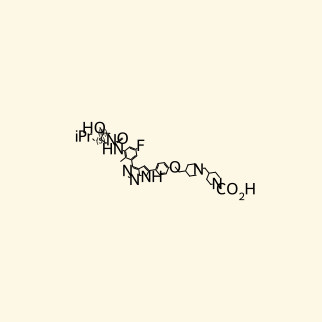 Cc1c(NC(=O)N2C[C@H](CC(C)C)[C@@H](O)C2)cc(F)cc1-c1ncnc2[nH]c(-c3ccc(OCC4CCN(CC5CCN(C(=O)O)CC5)CC4)cc3)cc12